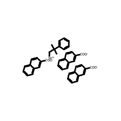 CC(C)([CH2][Sn+3])c1ccccc1.O=C([O-])c1ccc2ccccc2c1.O=C([O-])c1ccc2ccccc2c1.O=C([O-])c1ccc2ccccc2c1